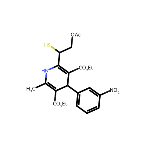 CCOC(=O)C1=C(C)NC(C(S)COC(C)=O)=C(C(=O)OCC)C1c1cccc([N+](=O)[O-])c1